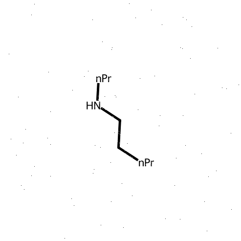 CCCCCNCCC